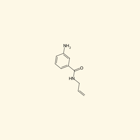 C=CCNC(=O)c1cccc(N)c1